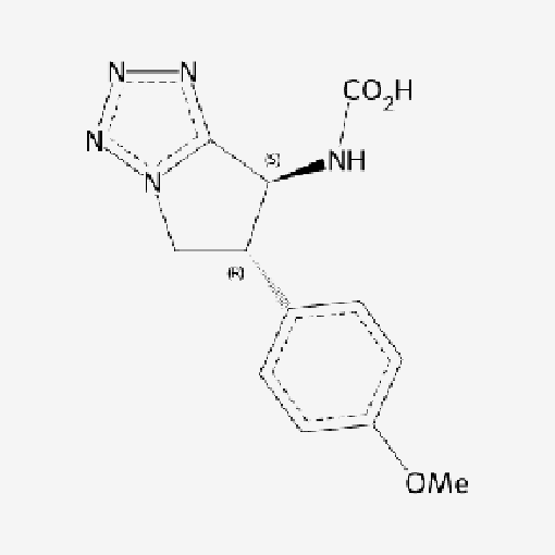 COc1ccc([C@@H]2Cn3nnnc3[C@H]2NC(=O)O)cc1